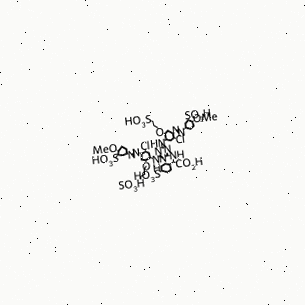 COc1ccc(N=Nc2cc(OCCCS(=O)(=O)O)c(Nc3nc(Nc4cc(Cl)c(N=Nc5ccc(OC)c(S(=O)(=O)O)c5)cc4OCCCS(=O)(=O)O)nc(NC(C(=O)O)c4ccc(S(=O)(=O)O)cc4)n3)cc2Cl)cc1S(=O)(=O)O